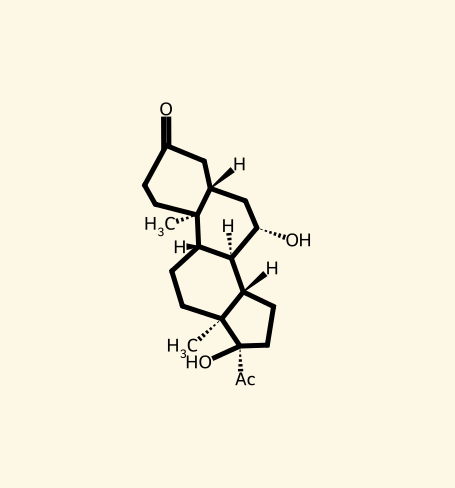 CC(=O)[C@@]1(O)CC[C@H]2[C@@H]3[C@@H](O)C[C@H]4CC(=O)CC[C@]4(C)[C@H]3CC[C@@]21C